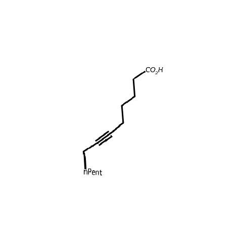 CCCCCCC#CCCCCC(=O)O